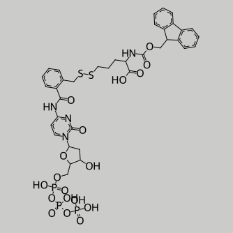 O=C(NC(CCCSSCc1ccccc1C(=O)Nc1ccn(C2CC(O)C(COP(=O)(O)OP(=O)(O)OP(=O)(O)O)O2)c(=O)n1)C(=O)O)OCC1c2ccccc2-c2ccccc21